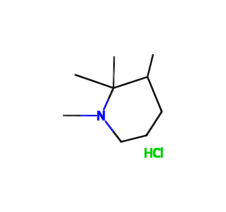 CC1CCCN(C)C1(C)C.Cl